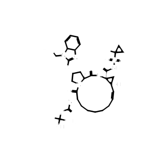 CCN1C(O[C@@H]2C[C@H]3C(=O)N[C@]4(C(=O)NS(=O)(=O)C5(C)CC5)C[C@H]4/C=C\CCCCC[C@H](NC(=O)OC(C)(C)C)C(=O)N3C2)=NC2C=CC=CC21